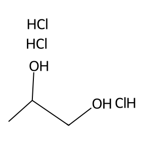 CC(O)CO.Cl.Cl.Cl